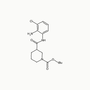 CC(C)(C)OC(=O)N1CCCC(C(=O)Nc2cccc(Cl)c2N)C1